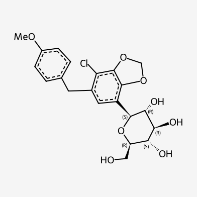 COc1ccc(Cc2cc([C@@H]3O[C@H](CO)[C@@H](O)[C@H](O)[C@H]3O)c3c(c2Cl)OCO3)cc1